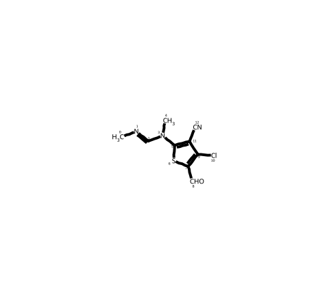 CN=CN(C)c1sc(C=O)c(Cl)c1C#N